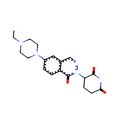 O=C(O)CN1CCN(c2ccc3c(=O)n(C4CCC(=O)NC4=O)ncc3c2)CC1